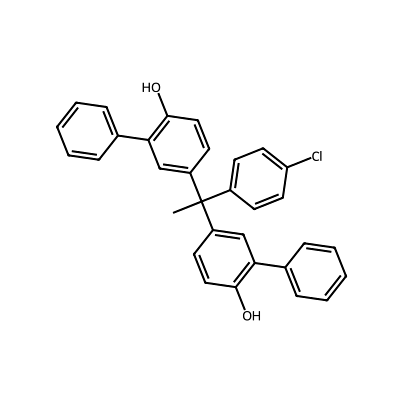 CC(c1ccc(Cl)cc1)(c1ccc(O)c(-c2ccccc2)c1)c1ccc(O)c(-c2ccccc2)c1